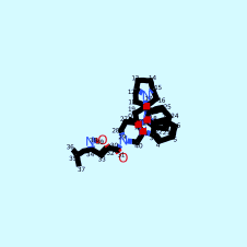 Cc1nc2ccccc2n1C1CC2CCC(C1)N2CCC1(c2ccccc2)CCN(C(=O)c2cc(C(C)C)no2)CC1